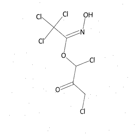 O=C(CCl)C(Cl)OC(=NO)C(Cl)(Cl)Cl